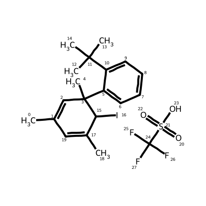 CC1=CC(C)(c2ccccc2C(C)(C)C)C(I)C(C)=C1.O=S(=O)(O)C(F)(F)F